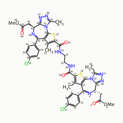 COC(=O)C[C@@H]1N=C(c2ccc(Cl)cc2)c2c(sc(C(=O)NCCNC(=O)c3sc4c(c3C)C(c3ccc(Cl)cc3)=N[C@@H](CC(=O)OC)c3nnc(C)n3-4)c2C)-n2c(C)nnc21